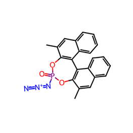 Cc1cc2ccccc2c2c1OP(=O)(N=[N+]=[N-])Oc1c(C)cc3ccccc3c1-2